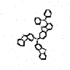 C1=CC(N(c2ccc3c(c2)sc2ccccc23)c2ccc3sc4ccccc4c3c2)Cc2sc3c(N(c4ccccc4)c4ccccc4)cccc3c21